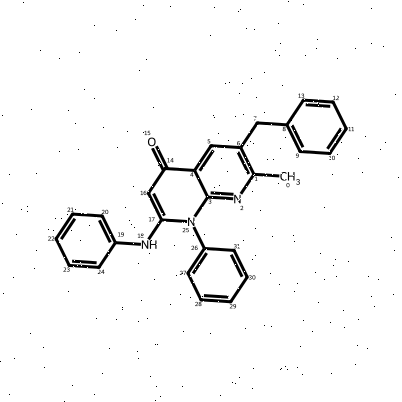 Cc1nc2c(cc1Cc1ccccc1)c(=O)cc(Nc1ccccc1)n2-c1ccccc1